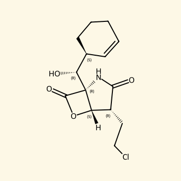 O=C1N[C@@]2([C@H](O)[C@@H]3C=CCCC3)C(=O)O[C@H]2[C@H]1CCCl